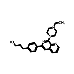 CCN1CCN(c2nc(-c3ccc(CCCO)cc3)cc3cccnc23)CC1